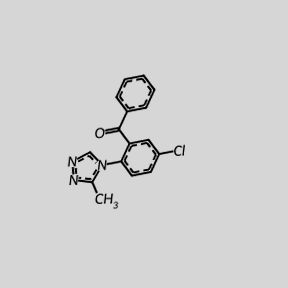 Cc1nncn1-c1ccc(Cl)cc1C(=O)c1ccccc1